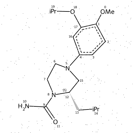 COc1ccc(N2CCN(C(N)=O)[C@@H](CC(C)C)C2)cc1OC(C)C